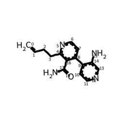 C=CC[CH]c1nccc(-c2ccncc2N)c1C(N)=O